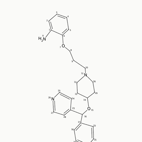 Nc1ccccc1OCCCN1CCC(OC(c2ccccc2)c2ccncc2)CC1